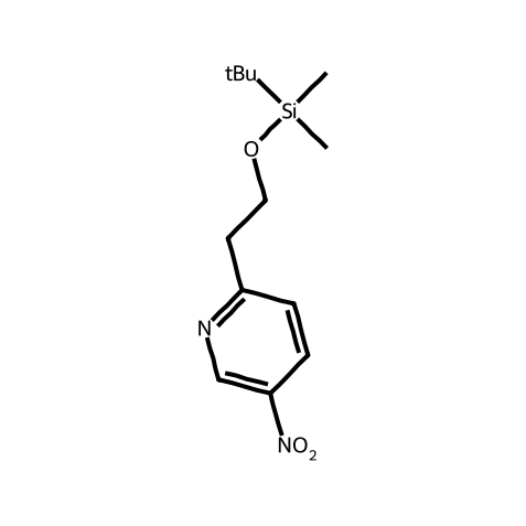 CC(C)(C)[Si](C)(C)OCCc1ccc([N+](=O)[O-])cn1